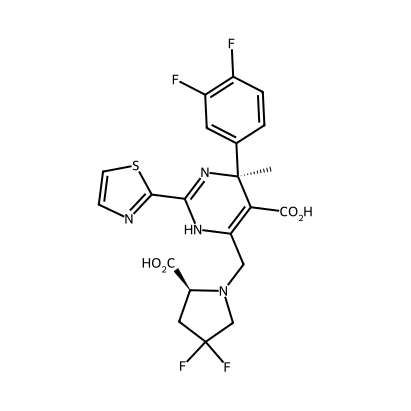 C[C@@]1(c2ccc(F)c(F)c2)N=C(c2nccs2)NC(CN2CC(F)(F)C[C@H]2C(=O)O)=C1C(=O)O